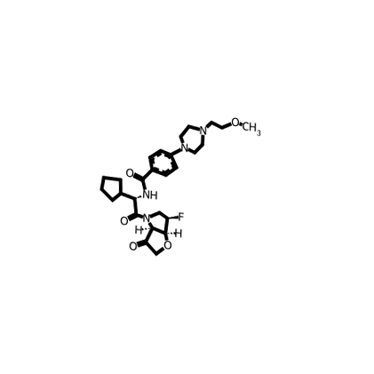 COCCN1CCN(c2ccc(C(=O)N[C@H](C(=O)N3C[C@@H](F)[C@H]4OCC(=O)[C@H]43)C3CCCC3)cc2)CC1